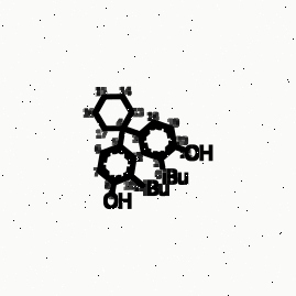 CCC(C)c1cc(C2(c3ccc(O)c(C(C)CC)c3)CCCCC2)ccc1O